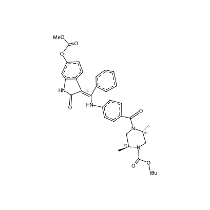 COC(=O)Oc1ccc2c(c1)NC(=O)/C2=C(\Nc1ccc(C(=O)N2C[C@H](C)N(C(=O)OC(C)(C)C)C[C@H]2C)cc1)c1ccccc1